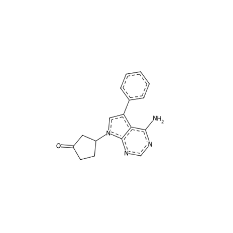 Nc1ncnc2c1c(-c1ccccc1)cn2C1CCC(=O)C1